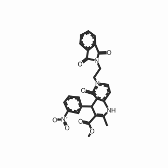 COC(=O)C1=C(C)Nc2ccn(CCN3C(=O)c4ccccc4C3=O)c(=O)c2C1c1cccc([N+](=O)[O-])c1